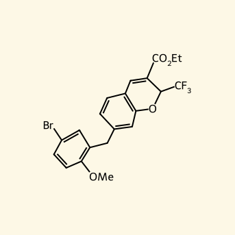 CCOC(=O)C1=Cc2ccc(Cc3cc(Br)ccc3OC)cc2OC1C(F)(F)F